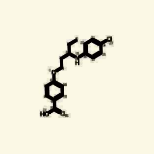 CCC(CCOc1ccc(C(=O)O)cc1)Nc1ccc(Cl)cc1